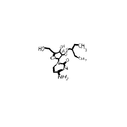 CCC(CC)[SiH2]OC1C(O)C(CO)OC1n1ccc(N)nc1=O